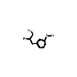 CCSc1cccc(CC(CC#N)C(C)C)c1